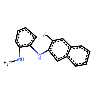 CNc1ccccc1Nc1cc2ccccc2cc1C